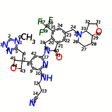 Cn1cnnc1CC1(c2cc(NCCC#N)nc(N3Cc4c(cc(CN5CCCC6OCCC65)cc4C(F)(F)F)C3=O)c2)COC1